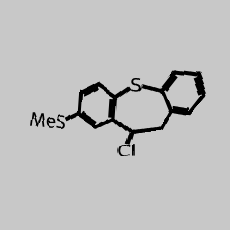 CSc1ccc2c(c1)C(Cl)Cc1ccccc1S2